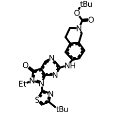 CCn1c(=O)c2cnc(Nc3ccc4c(c3)CCN(C(=O)OC(C)(C)C)C4)nc2n1-c1nc(C(C)(C)C)cs1